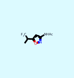 CC(=O)Nc1cc(C(C)C(F)(F)F)on1